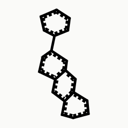 [c]1cc2cc3ccccc3cc2cc1-c1ccccc1